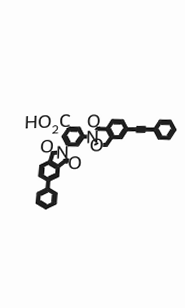 O=C(O)c1cc(N2OCc3cc(C#Cc4ccccc4)ccc3C2=O)cc(N2C(=O)c3ccc(-c4ccccc4)cc3C2=O)c1